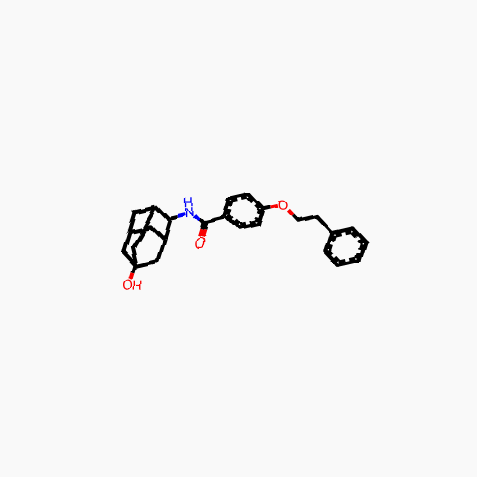 O=C(NC1C2CC3CC1CC(O)(C3)C2)c1ccc(OCCc2ccccc2)cc1